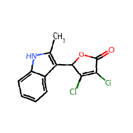 Cc1[nH]c2ccccc2c1C1OC(=O)C(Cl)=C1Cl